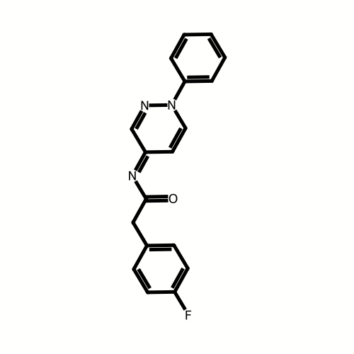 O=C(Cc1ccc(F)cc1)N=c1ccn(-c2ccccc2)nc1